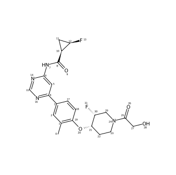 Cc1cc(-c2cc(NC(=O)[C@H]3C[C@H]3F)ncn2)ccc1O[C@H]1CCN(C(=O)CO)C[C@H]1F